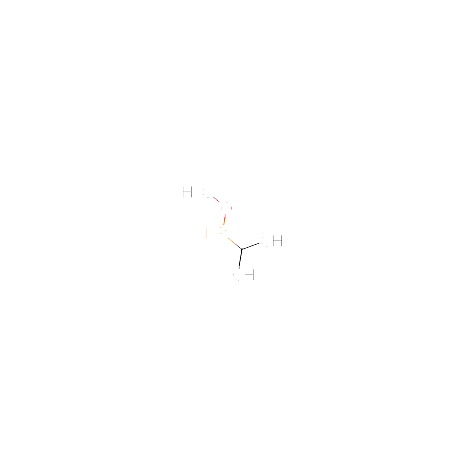 COPC(C)C